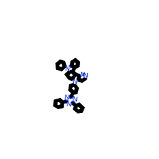 c1ccc(-c2nc(-c3ccccc3)nc(-c3ccc(-n4c5ccnnc5c5c6c7ccccc7n(-c7ccccc7)c6ccc54)cc3)n2)cc1